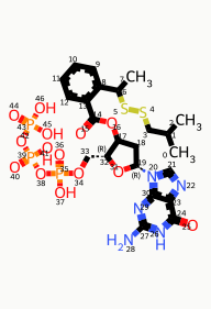 CC(C)CSSC(C)c1ccccc1C(=O)OC1C[C@H](n2cnc3c(=O)[nH]c(N)nc32)O[C@@H]1COP(=O)(O)OP(=O)(O)OP(=O)(O)O